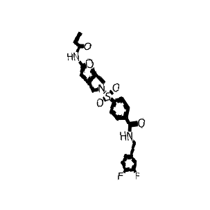 C=CC(=O)Nc1cc2c(o1)CN(S(=O)(=O)c1ccc(C(=O)NCc3ccc(F)c(F)c3)cc1)C2